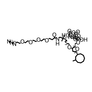 CC1CCCCCCC([C@H]2CC(OCSSC(C)(C)CNC(=O)CCOCCOCCOCCOCCN=[N+]=[N-])[C@@H](COP(=O)(O)OP(=O)(O)OP(=O)(O)O)O2)C1